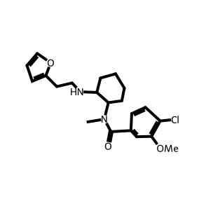 COc1cc(C(=O)N(C)C2CCCCC2NCCc2ccco2)ccc1Cl